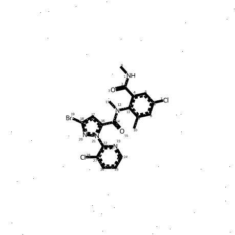 CNC(=O)c1cc(Cl)cc(C)c1N(C)C(=O)c1cc(Br)nn1-c1ncccc1Cl